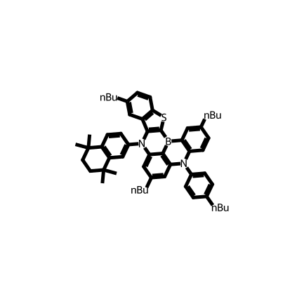 CCCCc1ccc(N2c3ccc(CCCC)cc3B3c4sc5ccc(CCCC)cc5c4N(c4ccc5c(c4)C(C)(C)CCC5(C)C)c4cc(CCCC)cc2c43)cc1